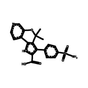 CC1(C)Oc2cnccc2-c2[nH]c(C(=O)O)c(-c3ccc(S(N)(=O)=O)cc3)c21